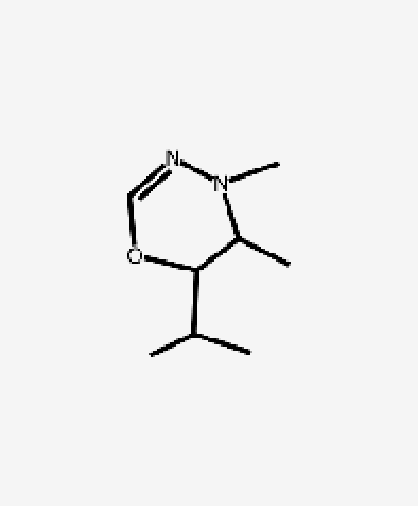 CC(C)C1OC=NN(C)C1C